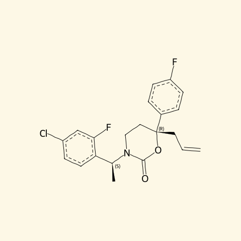 C=CC[C@]1(c2ccc(F)cc2)CCN([C@@H](C)c2ccc(Cl)cc2F)C(=O)O1